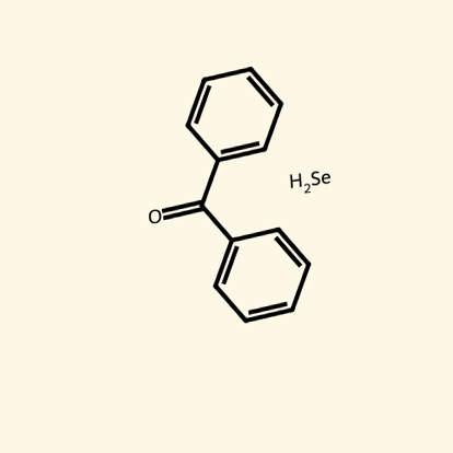 O=C(c1ccccc1)c1ccccc1.[SeH2]